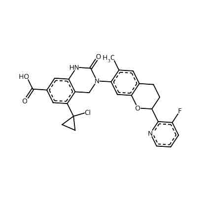 Cc1cc2c(cc1N1Cc3c(cc(C(=O)O)cc3C3(Cl)CC3)NC1=O)OC(c1ncccc1F)CC2